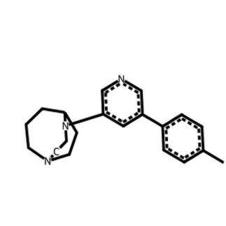 Cc1ccc(-c2cncc(N3CCN4CCCC3CC4)c2)cc1